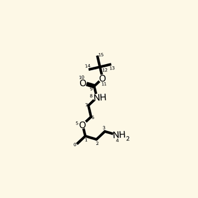 CC(CCN)OCCNC(=O)OC(C)(C)C